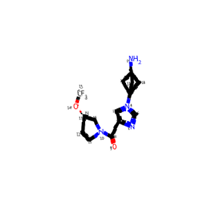 NC12CC(n3cnc(C(=O)N4CC[C@H](OC(F)(F)F)C4)c3)(C1)C2